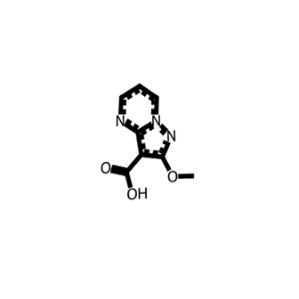 COc1nn2cccnc2c1C(=O)O